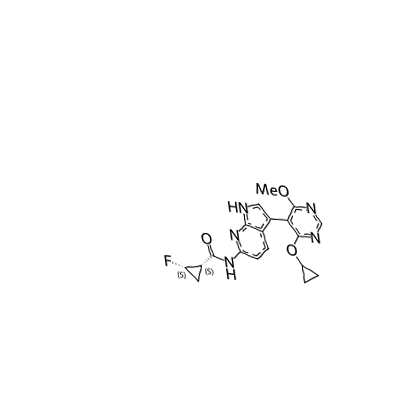 COc1ncnc(OC2CC2)c1-c1c[nH]c2nc(NC(=O)[C@@H]3C[C@@H]3F)ccc12